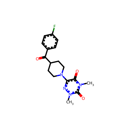 Cn1nc(N2CCC(C(=O)c3ccc(F)cc3)CC2)c(=O)n(C)c1=O